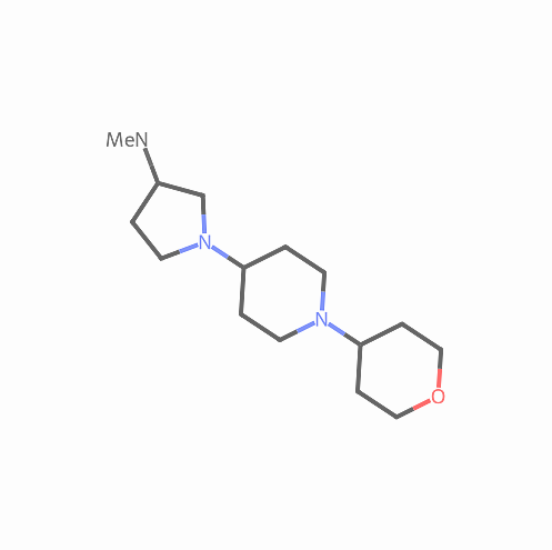 CNC1CCN(C2CCN(C3CCOCC3)CC2)C1